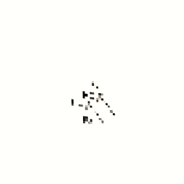 CC(=O)O.CC(=O)O.[Fe].[Fe]